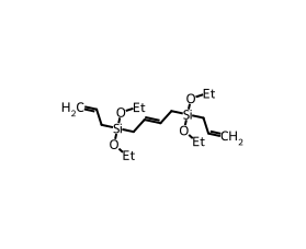 C=CC[Si](CC=CC[Si](CC=C)(OCC)OCC)(OCC)OCC